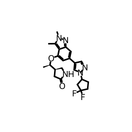 Cc1c2c(O[C@H](C)[C@H]3CNC(=O)C3)cc(-c3cnn(C4CCC(F)(F)C4)c3)cc2nn1C